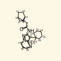 CCC1(c2c(NC(=O)CC3CC4CCC3C4)nn3cccnc23)CCCCC1